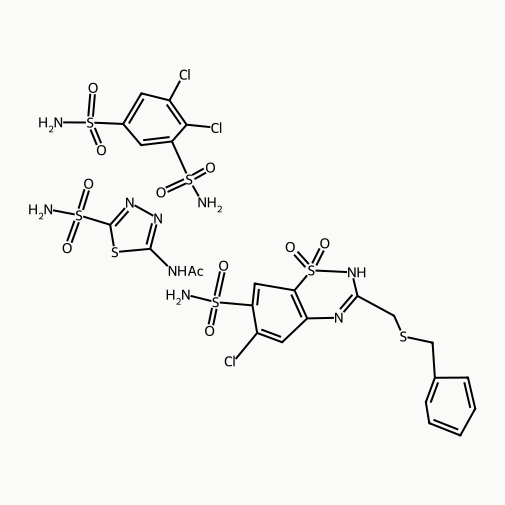 CC(=O)Nc1nnc(S(N)(=O)=O)s1.NS(=O)(=O)c1cc(Cl)c(Cl)c(S(N)(=O)=O)c1.NS(=O)(=O)c1cc2c(cc1Cl)N=C(CSCc1ccccc1)NS2(=O)=O